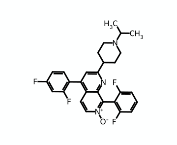 CC(C)N1CCC(c2cc(-c3ccc(F)cc3F)c3cc[n+]([O-])c(-c4c(F)cccc4F)c3n2)CC1